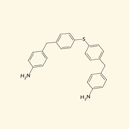 Nc1ccc(Cc2ccc(Sc3ccc(Cc4ccc(N)cc4)cc3)cc2)cc1